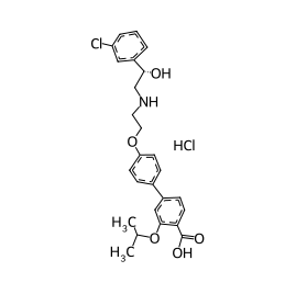 CC(C)Oc1cc(-c2ccc(OCCNC[C@@H](O)c3cccc(Cl)c3)cc2)ccc1C(=O)O.Cl